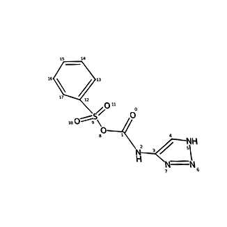 O=C(Nc1c[nH]nn1)OS(=O)(=O)c1ccccc1